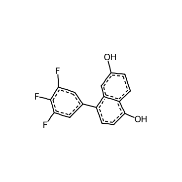 Oc1ccc2c(O)ccc(-c3cc(F)c(F)c(F)c3)c2c1